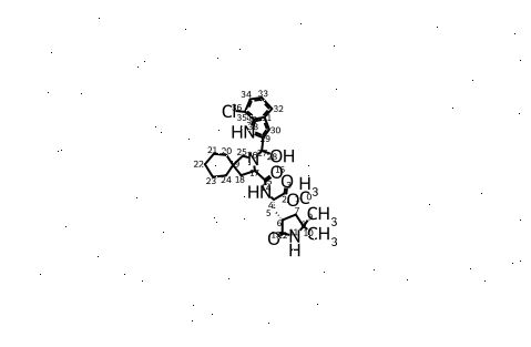 COC(=O)[C@H](C[C@@H]1CC(C)(C)NC1=O)NC(=O)C1CC2(CCCCC2)CN1C(O)c1cc2cccc(Cl)c2[nH]1